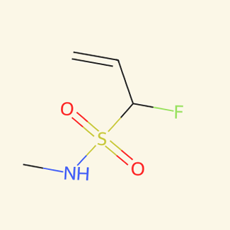 C=CC(F)S(=O)(=O)NC